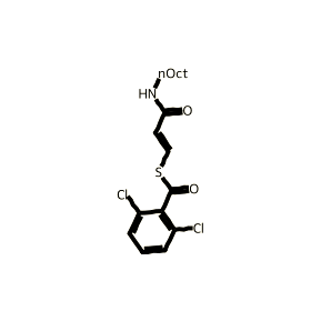 CCCCCCCCNC(=O)C=CSC(=O)c1c(Cl)cccc1Cl